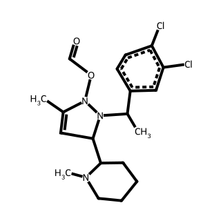 CC1=CC(C2CCCCN2C)N(C(C)c2ccc(Cl)c(Cl)c2)N1OC=O